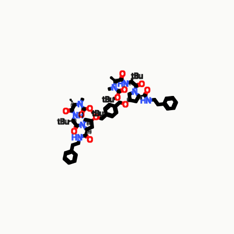 C[C@@H](C(=O)N[C@H](C(=O)N1C[C@@H](OCc2ccc(CO[C@H]3C[C@@H](C(=O)NCCc4ccccc4)N(C(=O)[C@@H](NC(=O)[C@H](C)N(C)C(=O)OC(C)(C)C)C(C)(C)C)C3)cc2)C[C@H]1C(=O)NCCc1ccccc1)C(C)(C)C)N(C)C(=O)OC(C)(C)C